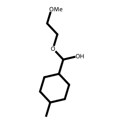 COCCOC(O)C1CCC(C)CC1